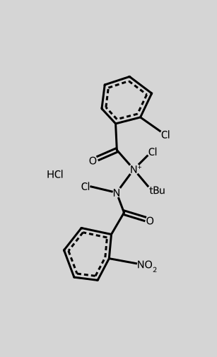 CC(C)(C)[N+](Cl)(C(=O)c1ccccc1Cl)N(Cl)C(=O)c1ccccc1[N+](=O)[O-].Cl